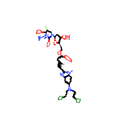 Cn1c(CCCC(=O)OC[C@H]2O[C@@H](n3cc(F)c(=O)[nH]c3=O)CC2O)nc2cc(N(CCCl)CCCl)ccc21